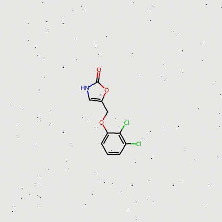 O=c1[nH]cc(COc2cccc(Cl)c2Cl)o1